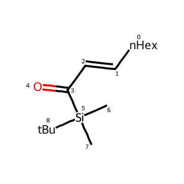 CCCCCCC=CC(=O)[Si](C)(C)C(C)(C)C